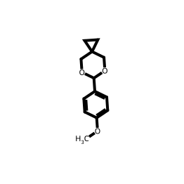 COc1ccc(C2OCC3(CC3)CO2)cc1